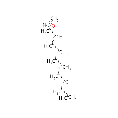 CCOC(=O)C(C#N)C(C)CCC=C(C)CCC=C(C)CCC=C(C)CCC=C(C)CCC=C(C)CCC=C(C)CCC=C(C)CCC=C(C)CCC=C(C)C